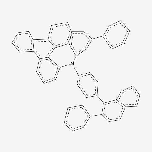 c1ccc(-c2cccc(N(c3ccc(-c4c(-c5ccccc5)ccc5ccccc45)cc3)c3cccc4c5ccccc5c5ccccc5c34)c2)cc1